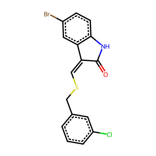 O=C1Nc2ccc(Br)cc2C1=CSCc1cccc(Cl)c1